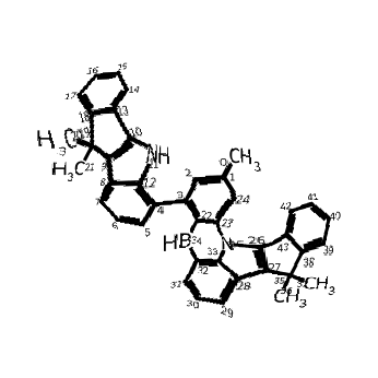 Cc1cc(-c2cccc3c4c([nH]c23)-c2ccccc2C4(C)C)c2c(c1)-n1c3c(c4cccc(c41)B2)C(C)(C)c1ccccc1-3